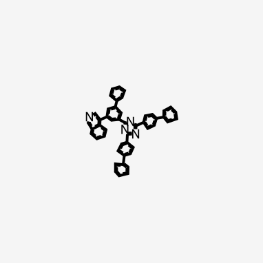 c1ccc(-c2ccc(-c3nc(-c4ccc(-c5ccccc5)cc4)nc(-c4cc(-c5ccccc5)cc(-c5cncc6ccccc56)c4)n3)cc2)cc1